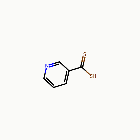 S=C(S)c1cccnc1